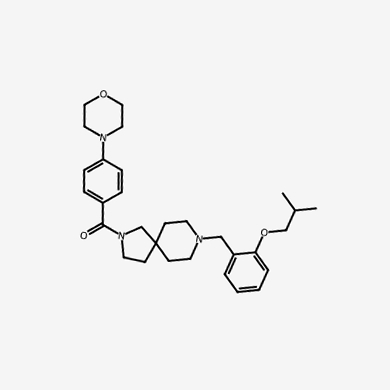 CC(C)COc1ccccc1CN1CCC2(CC1)CCN(C(=O)c1ccc(N3CCOCC3)cc1)C2